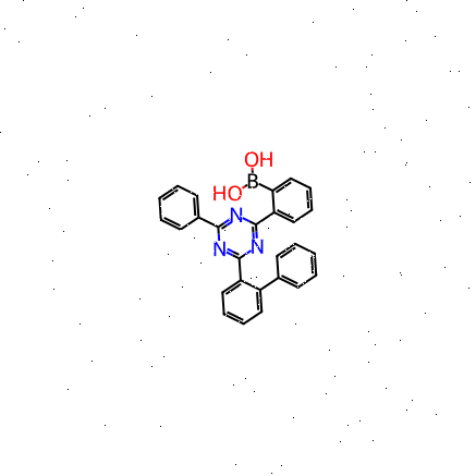 OB(O)c1ccccc1-c1nc(-c2ccccc2)nc(-c2ccccc2-c2ccccc2)n1